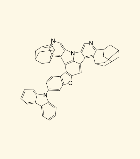 c1ccc2c(c1)c1ccccc1n2-c1ccc2c(c1)oc1cc3c4c5c(ncc4n4c6cnc7c(c6c(c12)c34)C1CC2CC(CC7C2)C1)C1CC2CC(C1)CC5C2